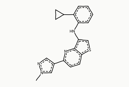 Cn1cc(-c2ccc3scc(Nc4ccccc4C4CC4)c3n2)cn1